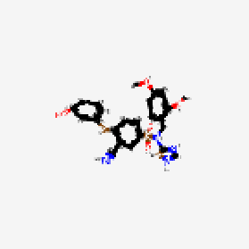 COc1ccc(CN(c2ncns2)S(=O)(=O)c2ccc(Sc3cccc(O)c3)c(C#N)c2)c(OC)c1